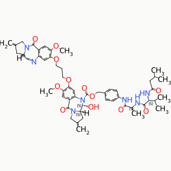 C=C1C[C@H]2C=Nc3cc(OCCCOc4cc5c(cc4OC)C(=O)N4CC(=C)C[C@H]4[C@H](O)N5C(=O)OCc4ccc(NC(=O)[C@H](C)NC(=O)[C@@H](NC(=O)CC(C)C)C(C)C)cc4)c(OC)cc3C(=O)N2C1